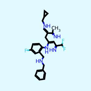 CC(=N)/C(=C\NCC1CC1)C/C(=C/C(=N)C(F)F)Nc1ccc(F)cc1CNCc1ccccc1